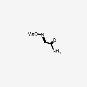 CON=CC(N)=O